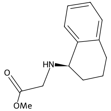 COC(=O)CN[C@@H]1CCCc2ccccc21